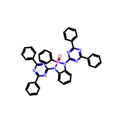 O=P1(c2ccccc2)N(c2nc(-c3ccccc3)nc(-c3ccccc3)n2)c2ccccc2N1c1nc(-c2ccccc2)nc(-c2ccccc2)n1